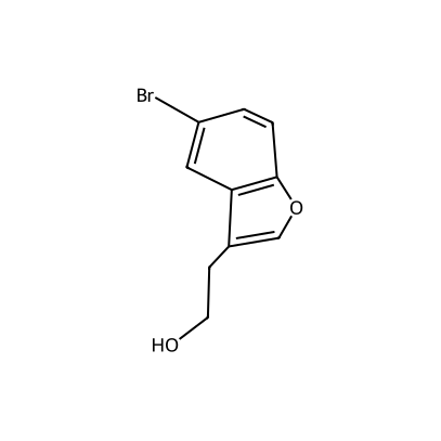 OCCc1coc2ccc(Br)cc12